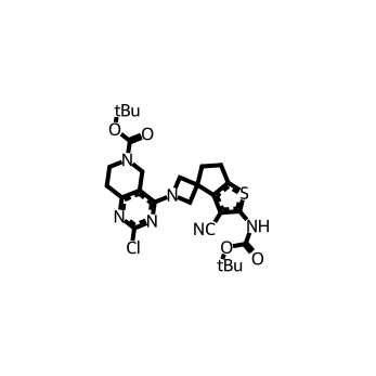 CC(C)(C)OC(=O)Nc1sc2c(c1C#N)C1(CC2)CN(c2nc(Cl)nc3c2CN(C(=O)OC(C)(C)C)CC3)C1